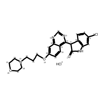 Cl.O=C1Nc2cc(Cl)ccc2C1c1ncnc2cc(OCCCN3CCOCC3)ccc12